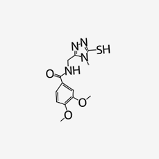 COc1ccc(C(=O)NCc2nnc(S)n2C)cc1OC